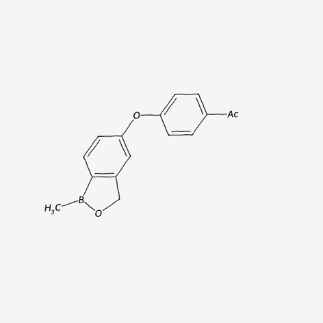 CB1OCc2cc(Oc3ccc(C(C)=O)cc3)ccc21